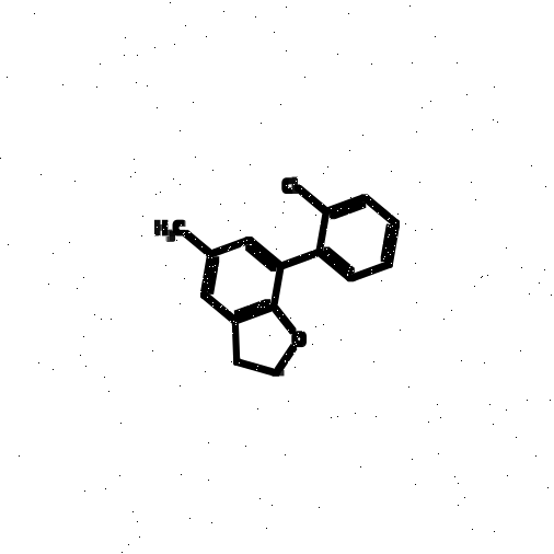 Cc1cc2c(c(-c3ccccc3Cl)c1)O[CH]C2